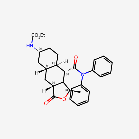 CCOC(=O)N[C@@H]1CC[C@@H]2[C@@H](C1)C[C@H]1C(=O)O[C@H](C)C1[C@H]2C(=O)N(c1ccccc1)c1ccccc1